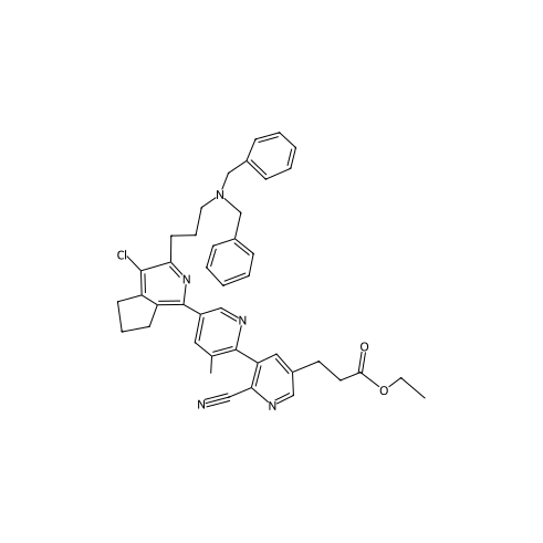 CCOC(=O)CCc1cnc(C#N)c(-c2ncc(-c3nc(CCCN(Cc4ccccc4)Cc4ccccc4)c(Cl)c4c3CCC4)cc2C)c1